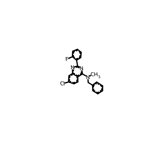 CN(Cc1ccccc1)c1nc(-c2ccccc2F)nc2cc(Cl)ccc12